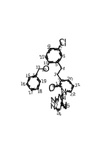 O=c1c(CCc2cc(Cl)ccc2OCc2ccccc2)cccn1-n1ncnn1